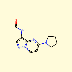 O=CNc1cnn2ccc(N3CCCC3)nc12